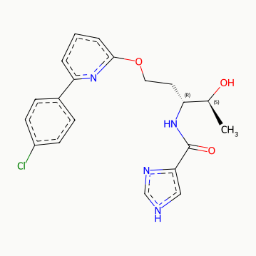 C[C@H](O)[C@@H](CCOc1cccc(-c2ccc(Cl)cc2)n1)NC(=O)c1c[nH]cn1